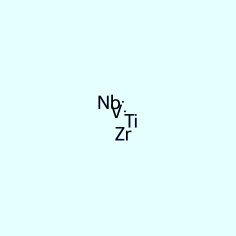 [Nb].[Ti].[V].[Zr]